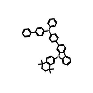 CC1(C)CCC(C)(C)c2cc(-n3c4ccccc4c4ccc(-c5ccc(N(c6ccccc6)c6ccc(-c7ccccc7)cc6)cc5)cc43)ccc21